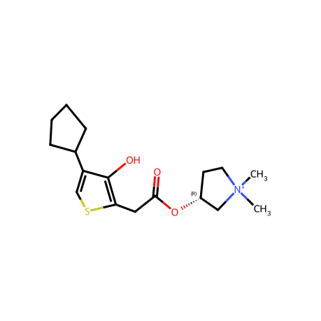 C[N+]1(C)CC[C@@H](OC(=O)Cc2scc(C3CCCC3)c2O)C1